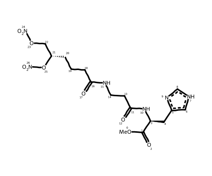 COC(=O)[C@H](Cc1c[nH]cn1)NC(=O)CCNC(=O)CCC[C@@H](CO[N+](=O)[O-])O[N+](=O)[O-]